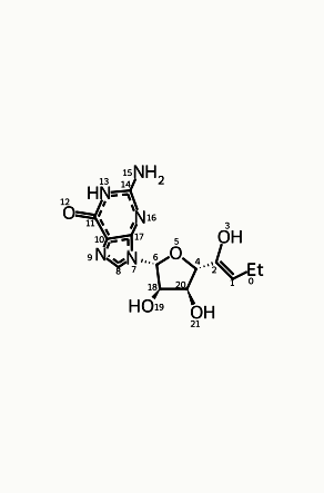 CCC=C(O)[C@H]1O[C@@H](n2cnc3c(=O)[nH]c(N)nc32)[C@H](O)[C@@H]1O